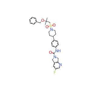 CC(C)(CS(=O)(=O)N1CCC(c2ccc(NC(=O)N3Cc4cc(F)cnc4C3)cc2)CC1)OCc1ccccc1